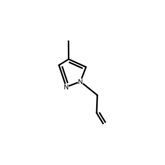 C=CCn1cc(C)cn1